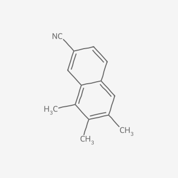 Cc1cc2ccc(C#N)cc2c(C)c1C